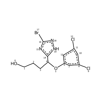 OCCCC(Oc1cc(Cl)cc(Cl)c1)c1nc(Br)n[nH]1